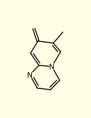 C=C1C=C2N=CC=CN2C=C1C